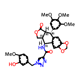 COc1ccc(Cn2cc(C(=O)N[C@@H]3c4cc5c(cc4[C@@H](c4cc(OC)c(OC)c(OC)c4)[C@H]4C(=O)OC[C@@H]43)OCO5)nn2)cc1O